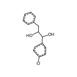 OC(Cc1ccccc1)C(O)c1ccc(Cl)cc1